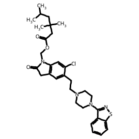 CC(C)CC(C)(C)CC(=O)OCN1C(=O)Cc2cc(CCN3CCN(c4nsc5ccccc45)CC3)c(Cl)cc21